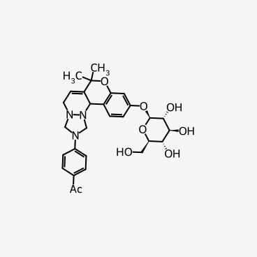 CC(=O)c1ccc(N2CN3CC=C4C(c5ccc(O[C@@H]6O[C@H](CO)[C@@H](O)[C@H](O)[C@H]6O)cc5OC4(C)C)N3C2)cc1